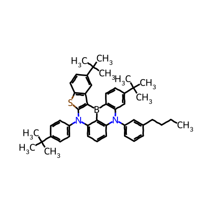 CCCCc1cccc(N2c3cc(C(C)(C)C)ccc3B3c4c2cccc4N(c2ccc(C(C)(C)C)cc2)c2sc4ccc(C(C)(C)C)cc4c23)c1